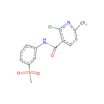 CS(=O)(=O)c1cccc(NC(=O)c2ccc(C(F)(F)F)nc2Cl)c1